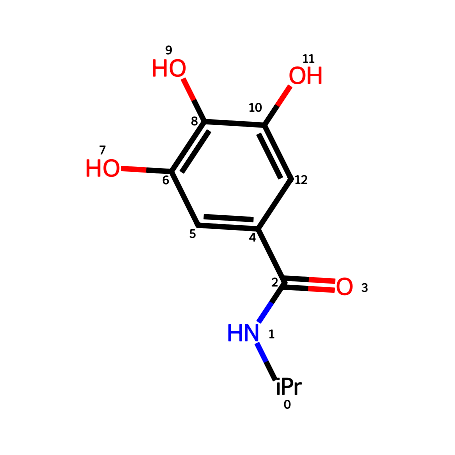 CC(C)NC(=O)c1cc(O)c(O)c(O)c1